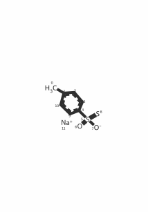 Cc1ccc(S(=O)([O-])=S)cc1.[Na+]